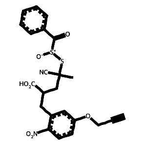 C#CCOc1ccc([N+](=O)[O-])c(CC(CC(C)(C#N)S[S+]([O-])C(=O)c2ccccc2)C(=O)O)c1